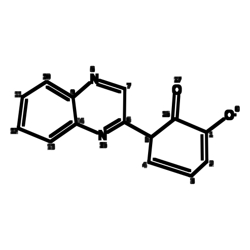 [O]C1=CC=CC(c2cnc3ccccc3n2)C1=O